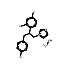 Clc1ccc(C(Cc2ccc(Br)cc2)Cn2ccnc2)c(Cl)c1.O=[N+]([O-])O